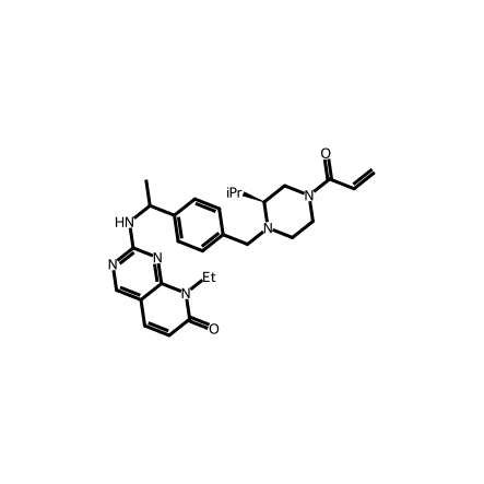 C=CC(=O)N1CCN(Cc2ccc(C(C)Nc3ncc4ccc(=O)n(CC)c4n3)cc2)[C@@H](C(C)C)C1